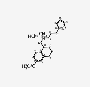 COc1ccc2c(c1)CCCC2CN(C)CCCc1ccco1.Cl